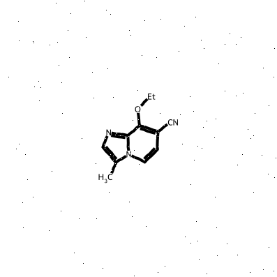 CCOc1c(C#N)ccn2c(C)cnc12